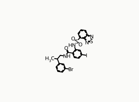 CC(CNC(=O)c1ccc(I)cc1NS(=O)(=O)c1cccc2nsnc12)c1cccc(Br)c1